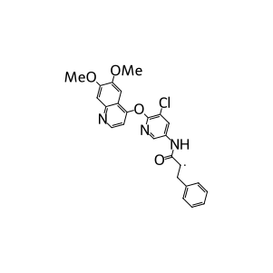 COc1cc2nccc(Oc3ncc(NC(=O)[CH]Cc4ccccc4)cc3Cl)c2cc1OC